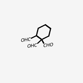 O=CC1CCCCC1(C=O)C=O